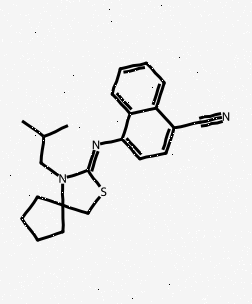 CC(C)CN1C(=Nc2ccc(C#N)c3ccccc23)SCC12CCCC2